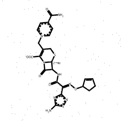 NC(=O)c1cc[n+](CC2=C(C(=O)[O-])N3C(=O)C(NC(=O)C(=NOC4C=CCC4)c4nsc(N)n4)[C@@H]3SC2)cc1